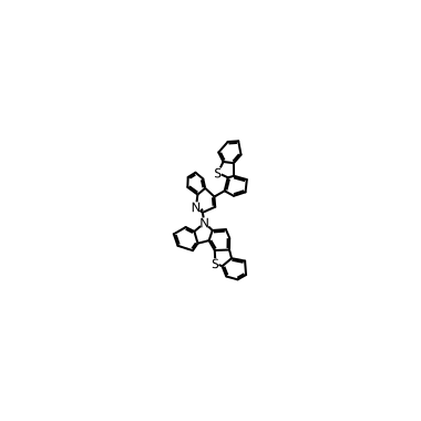 c1ccc2c(-c3cccc4c3sc3ccccc34)cc(-n3c4ccccc4c4c5sc6ccccc6c5ccc43)nc2c1